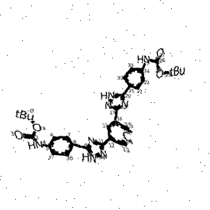 CC(C)(C)OC(=O)Nc1ccc(-c2nc(-c3cccc(-c4n[nH]c(-c5ccc(NC(=O)OC(C)(C)C)cc5)n4)c3)n[nH]2)cc1